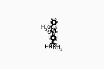 CC(c1ccccc1)n1ccn(-c2ccc(/C(C=N)=C/N)cc2)c1=O